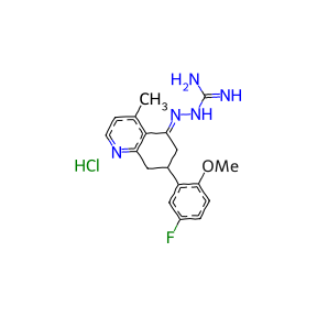 COc1ccc(F)cc1C1CC(=NNC(=N)N)c2c(C)ccnc2C1.Cl